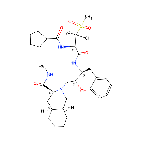 CC(C)(C)NC(=O)[C@@H]1C[C@@H]2CCCC[C@@H]2CN1C[C@@H](O)[C@H](Cc1ccccc1)NC(=O)[C@@H](NC(=O)C1CCCC1)C(C)(C)S(C)(=O)=O